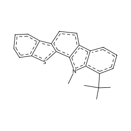 Cn1c2c(C(C)(C)C)cccc2c2ccc3c4ccccc4sc3c21